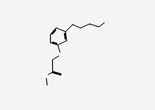 COC(=O)COc1cccc(CCCCO)c1